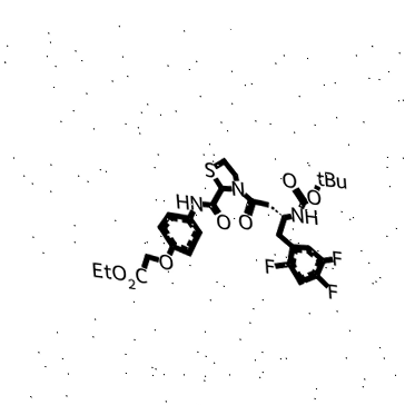 CCOC(=O)COc1ccc(NC(=O)C2SCCN2C(=O)C[C@@H](Cc2cc(F)c(F)cc2F)NC(=O)OC(C)(C)C)cc1